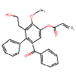 C=CC(=O)Oc1cc(C(=O)c2ccccc2)c(-c2ccccc2)c(CCO)c1OC